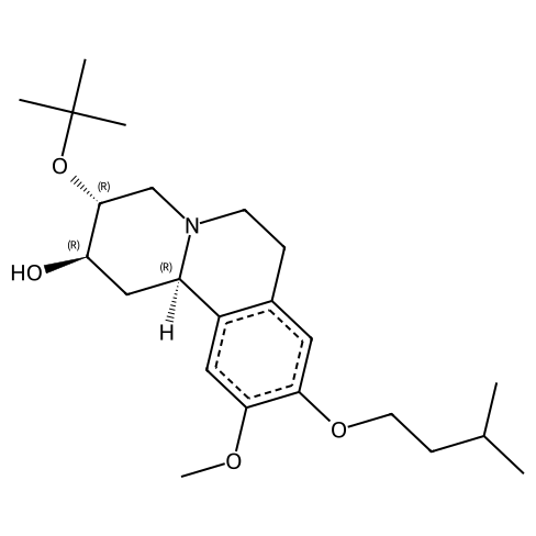 COc1cc2c(cc1OCCC(C)C)CCN1C[C@@H](OC(C)(C)C)[C@H](O)C[C@H]21